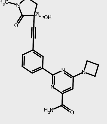 CN1CC[C@@](O)(C#Cc2cccc(-c3nc(C(N)=O)cc(N4CCC4)n3)c2)C1=O